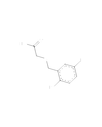 O=C(O)CSCc1cc(F)ccc1Br